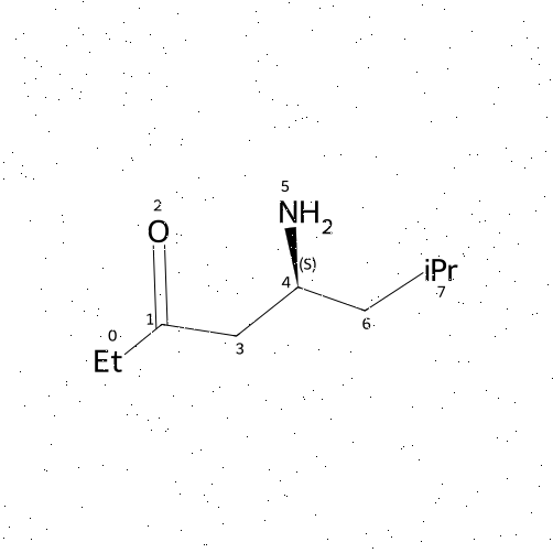 CCC(=O)C[C@@H](N)CC(C)C